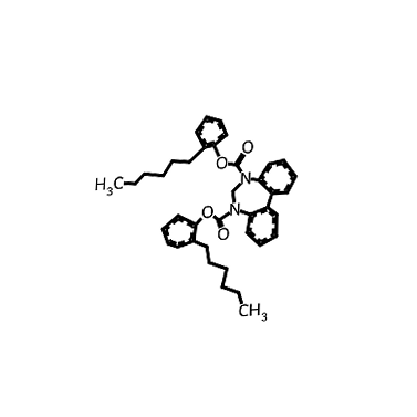 CCCCCCc1ccccc1OC(=O)N1CN(C(=O)Oc2ccccc2CCCCCC)c2ccccc2-c2ccccc21